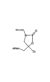 C=CN1CC(CC)(CCCCCCC)OC1=O